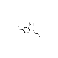 CCCCc1ccc(CC)cc1NC